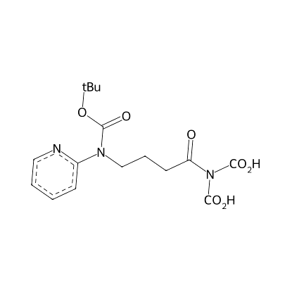 CC(C)(C)OC(=O)N(CCCC(=O)N(C(=O)O)C(=O)O)c1ccccn1